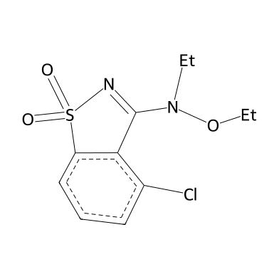 CCON(CC)C1=NS(=O)(=O)c2cccc(Cl)c21